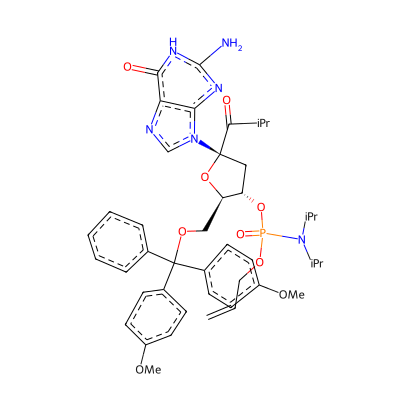 C=CCOP(=O)(O[C@H]1C[C@](C(=O)C(C)C)(n2cnc3c(=O)[nH]c(N)nc32)O[C@@H]1COC(c1ccccc1)(c1ccc(OC)cc1)c1ccc(OC)cc1)N(C(C)C)C(C)C